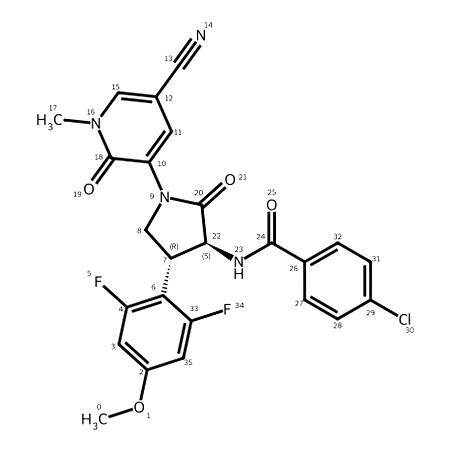 COc1cc(F)c([C@@H]2CN(c3cc(C#N)cn(C)c3=O)C(=O)[C@H]2NC(=O)c2ccc(Cl)cc2)c(F)c1